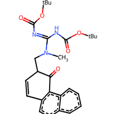 CN(CC1C=Cc2ccc3ccccc3c2C1=O)C(=NC(=O)OC(C)(C)C)NC(=O)OC(C)(C)C